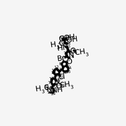 COc1nc(O[C@H]2CCc3c(-c4cccc(-c5ccc(C6NCCN6C)c(OC)n5)c4Cl)cccc32)c(Br)cc1CNC(C)(CO)C(=O)O